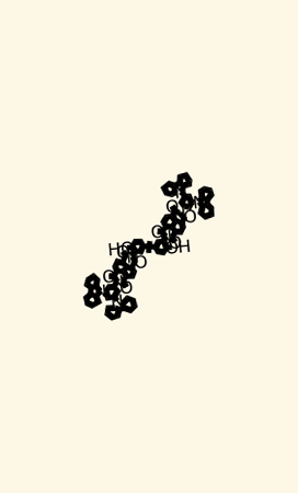 CC(C)(c1ccc(O)c(N2C(=O)c3ccc4c5c(ccc(c35)C2=O)C(=O)N(c2cc(-n3c5ccccc5c5ccccc53)cc(-n3c5ccccc5c5ccccc53)c2)C4=O)c1)c1ccc(O)c(N2C(=O)c3ccc4c5c(ccc(c35)C2=O)C(=O)N(c2cc(-n3c5ccccc5c5ccccc53)cc(-n3c5ccccc5c5ccccc53)c2)C4=O)c1